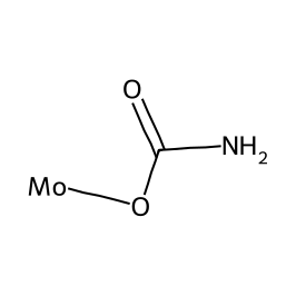 NC(=O)[O][Mo]